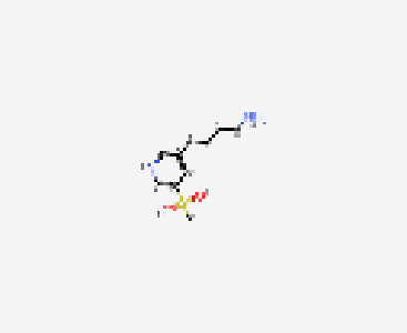 CS(=O)(=O)c1cncc(CCCCN)c1